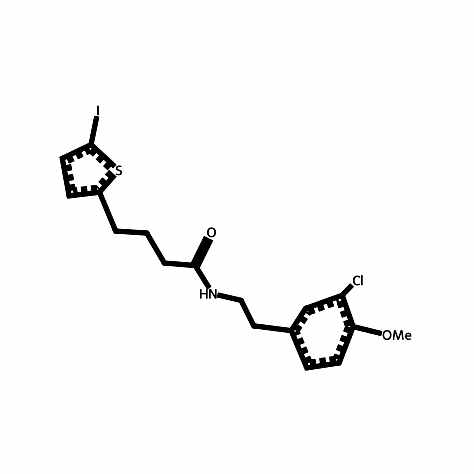 COc1ccc(CCNC(=O)CCCc2ccc(I)s2)cc1Cl